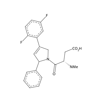 CN[C@@H](CC(=O)O)C(=O)N1CC(c2cc(F)ccc2F)=CC1c1ccccc1